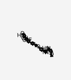 CC1(Oc2ccc3n[nH]c(-c4cc(N5CCC(CO[C@H]6C[C@H](N7CCC(c8ccc9c(c8F)CN(C8CCC(=O)NC8=O)C9=O)CC7)C6)CC5)ncn4)c3c2)CC1